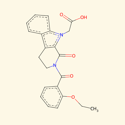 CCOc1ccccc1C(=O)N1CCc2c(n(CC(=O)O)c3ccccc23)C1=O